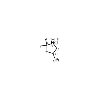 CC(C)C1CNC(C)(C)C1.Cl